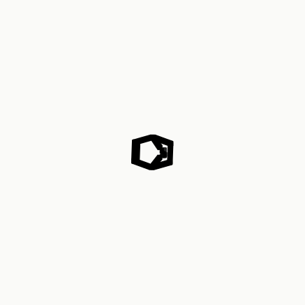 C1=CC2CCC1S2